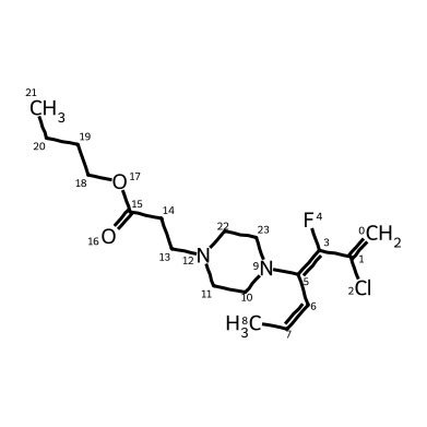 C=C(Cl)/C(F)=C(\C=C/C)N1CCN(CCC(=O)OCCCC)CC1